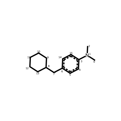 CN(C)c1ccc([CH]C2CCCCC2)cc1